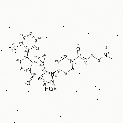 CN(C)CCOC(=O)N1CCC(n2ncc(C(=O)N3CC[C@@H](c4ccccc4C(F)(F)F)C3)c2C2CC2)CC1.Cl